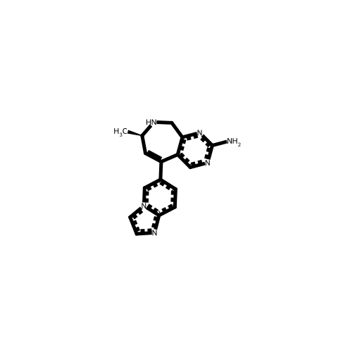 C[C@@H]1C=C(c2ccc3nccn3c2)c2cnc(N)nc2CN1